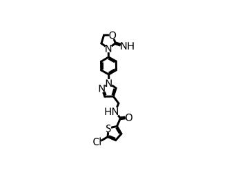 N=C1OCCN1c1ccc(-n2cc(CNC(=O)c3ccc(Cl)s3)cn2)cc1